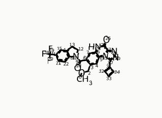 COCc1cc2c(cc1C(=O)N1CCc3cc(C(F)(F)F)ccc31)[nH]c(=O)c1nnc(C3=CC=C3)n12